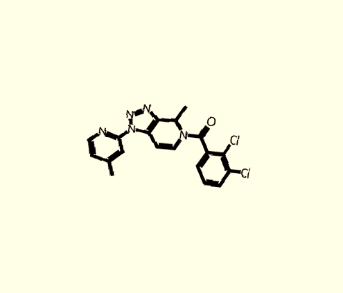 Cc1ccnc(-n2nnc3c2C=CN(C(=O)c2cccc(Cl)c2Cl)C3C)c1